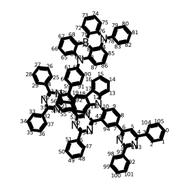 c1ccc(-c2cc(-c3ccc(-n4c5ccccc5c5cc(-c6nc(-c7ccccc7)nc(-c7ccccc7)n6)ccc54)c(-c4nc(-c5ccccc5)nc(-c5cccc(-c6ccc(N7c8ccccc8B8c9ccccc9N(c9ccccc9)c9cccc7c98)cc6)c5)n4)c3)nc(-c3ccccc3)n2)cc1